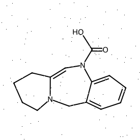 O=C(O)N1C=C2CCCCN2Cc2ccccc21